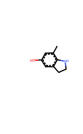 Cc1cc(O)cc2c1NCC2